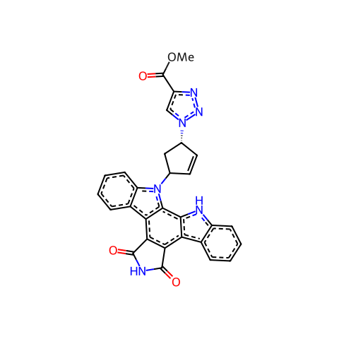 COC(=O)c1cn([C@@H]2C=CC(n3c4ccccc4c4c5c(c6c7ccccc7[nH]c6c43)C(=O)NC5=O)C2)nn1